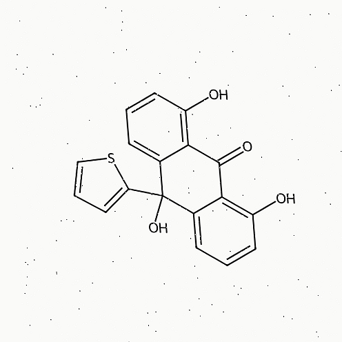 O=C1c2c(O)cccc2C(O)(c2cccs2)c2cccc(O)c21